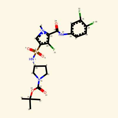 Cn1cc(S(=O)(=O)N[C@@H]2CCN(C(=O)OC(C)(C)C)C2)c(F)c1C(=O)Nc1ccc(F)c(F)c1